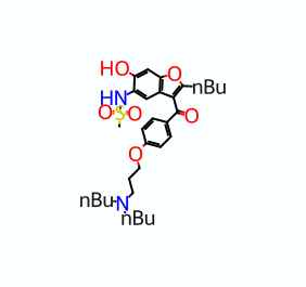 CCCCc1oc2cc(O)c(NS(C)(=O)=O)cc2c1C(=O)c1ccc(OCCCN(CCCC)CCCC)cc1